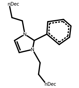 CCCCCCCCCCCCN1C=CN(CCCCCCCCCCCC)C1c1ccccc1